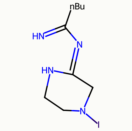 CCCCC(=N)/N=C1/CN(I)CCN1